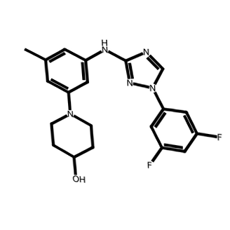 Cc1cc(Nc2ncn(-c3cc(F)cc(F)c3)n2)cc(N2CCC(O)CC2)c1